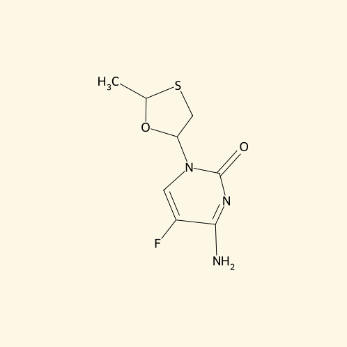 CC1OC(n2cc(F)c(N)nc2=O)CS1